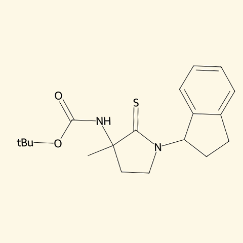 CC(C)(C)OC(=O)NC1(C)CCN(C2CCc3ccccc32)C1=S